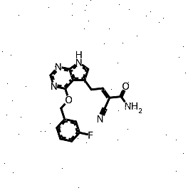 N#C/C(=C\Cc1c[nH]c2ncnc(OCc3cccc(F)c3)c12)C(N)=O